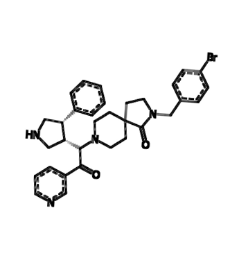 O=C(c1cccnc1)C([C@@H]1CNC[C@@H]1c1ccccc1)N1CCC2(CCN(Cc3ccc(Br)cc3)C2=O)CC1